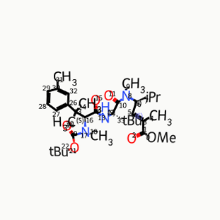 COC(=O)/C(C)=C/[C@H](C(C)C)N(C)C(=O)[C@@H](NC(=O)[C@@H](N(C)C(=O)OC(C)(C)C)C(C)(C)c1cccc(C)c1)C(C)(C)C